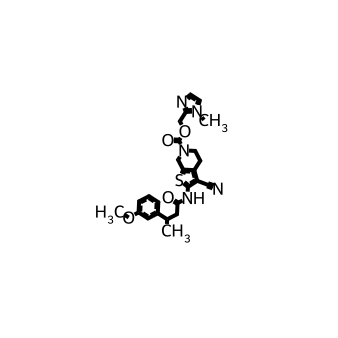 COc1cccc(C(C)CC(=O)Nc2sc3c(c2C#N)CCN(C(=O)OCc2nccn2C)C3)c1